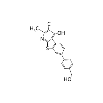 Cc1nc2sc3cc(-c4ccc(CO)cc4)ccc3c2c(O)c1Cl